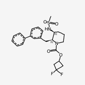 CS(=O)(=O)N[C@H]1CCCN(C(=O)OC2CC(F)(F)C2)[C@H]1Cc1cccc(-c2ccccc2)c1